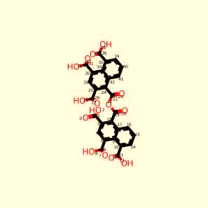 O=C(O)c1cc(C(=O)O)c2c(C(=O)O)cccc2c1C(=O)OC(=O)c1c(C(=O)O)cc(C(=O)O)c2c(C(=O)O)cccc12